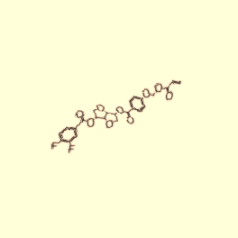 C=CC(=O)OCOc1ccc(C(=O)OC2COC3C(OC(=O)c4ccc(F)c(F)c4)COC23)cc1